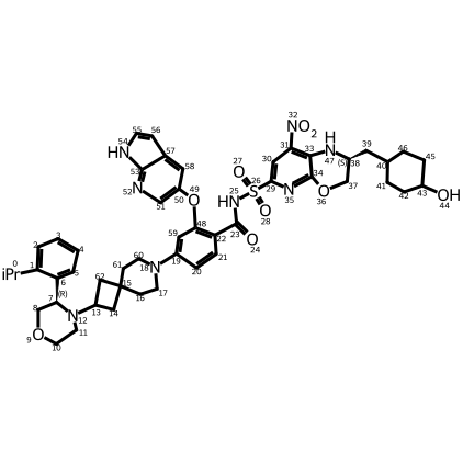 CC(C)c1ccccc1[C@@H]1COCCN1C1CC2(CCN(c3ccc(C(=O)NS(=O)(=O)c4cc([N+](=O)[O-])c5c(n4)OC[C@H](CC4CCC(O)CC4)N5)c(Oc4cnc5[nH]ccc5c4)c3)CC2)C1